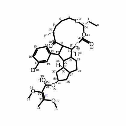 CC[C@H]1CCCC[C@@H](C)C(=O)C2C(c3cccc(Cl)c3)C3C(CCC4C[C@@H](O[C@H](O)/C(OC)=C(/C)OC)C[C@H]43)[C@@H]2CC(=O)O1